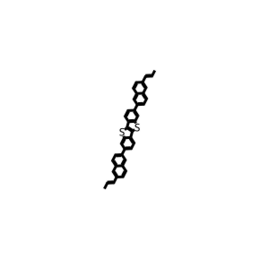 CC=Cc1ccc2cc(-c3ccc4c(c3)sc3c5ccc(-c6ccc7cc(C=CC)ccc7c6)cc5sc43)ccc2c1